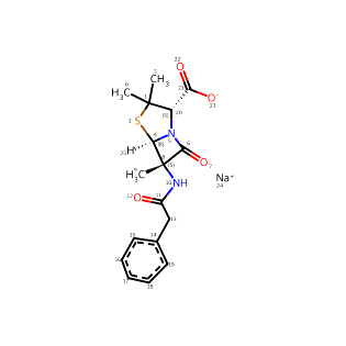 CC1(C)S[C@H]2N(C(=O)[C@]2(C)NC(=O)Cc2ccccc2)[C@H]1C(=O)[O-].[Na+]